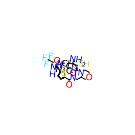 COC(/C(S)=C(\C)N)N1CCOCC1CNC(=O)c1ccc(C2NC(C(F)(F)F)ON2C)s1